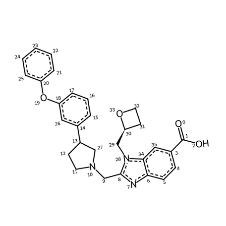 O=C(O)c1ccc2nc(CN3CCC(c4cccc(Oc5ccccc5)c4)C3)n(C[C@@H]3CCO3)c2c1